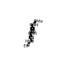 CCOCCNC(=O)c1ccc(C(=O)NS(=O)(=O)c2ccc(C(=O)NCCOC)cc2)cn1